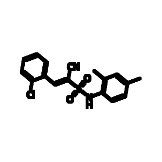 Cc1ccc(NS(=O)(=O)C(C#N)=Cc2ccccc2Cl)c(C)c1